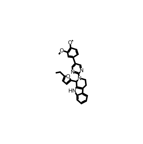 CCc1ccc(C2c3[nH]c4ccccc4c3CCN2c2ncc(-c3ccc(OC)c(OC)c3)cn2)o1